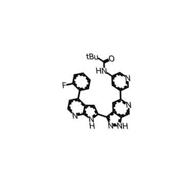 CC(C)(C)C(=O)Nc1cncc(-c2cc3c(-c4cc5c(-c6ccccc6F)ccnc5[nH]4)n[nH]c3cn2)c1